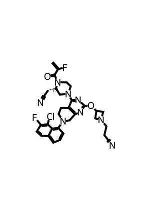 C=C(F)C(=O)N1CCN(c2nc(OC3CN(CCC#N)C3)nc3c2CCN(c2cccc4ccc(F)c(Cl)c24)C3)C[C@@H]1CC#N